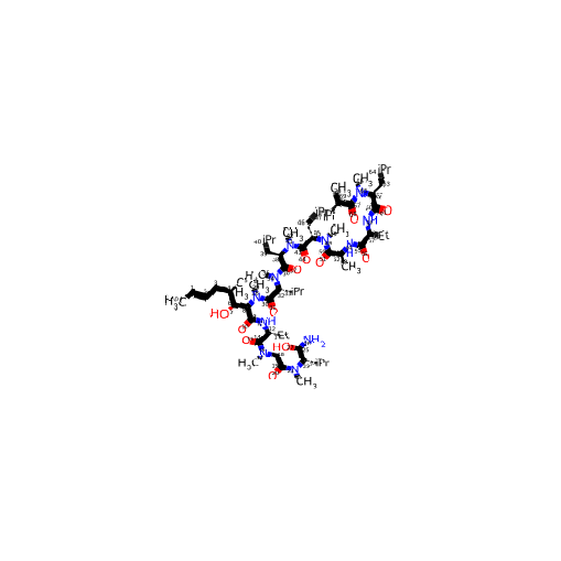 C/C=C/C[C@@H](C)[C@H](O)C(C(=O)N[C@H](CC)C(=O)N(C)CC(=O)N(C)[C@@H](C(C)C)C(N)O)N(C)C(=O)[C@@H](C(C)C)N(C)C(=O)[C@@H](CC(C)C)N(C)C(=O)[C@H](CC(C)C)N(C)C(=O)[C@H](C)NC(=O)C(CC)NC(=O)[C@H](CC(C)C)N(C)C(=O)[C@H](C)C(C)C